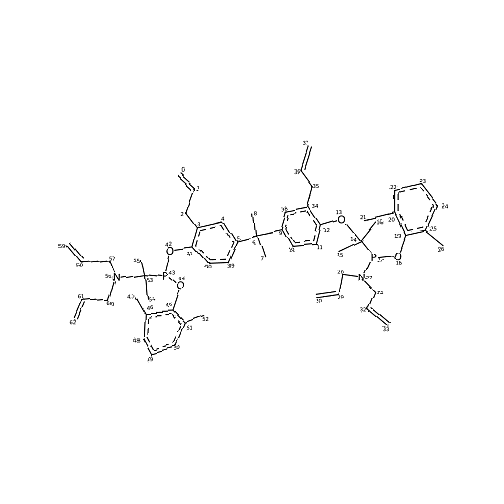 C=CCc1cc(C(C)(C)c2ccc(OC(C)(C)P(Oc3c(C)cccc3C)N(CC=C)CC=C)c(CC=C)c2)ccc1OP(Oc1c(C)cccc1C)C(C)(C)N(CC=C)CC=C